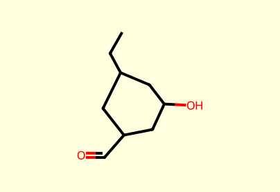 CCC1CC(O)CC(C=O)C1